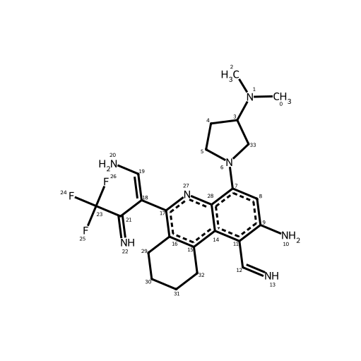 CN(C)C1CCN(c2cc(N)c(C=N)c3c4c(c(/C(=C/N)C(=N)C(F)(F)F)nc23)CCCC4)C1